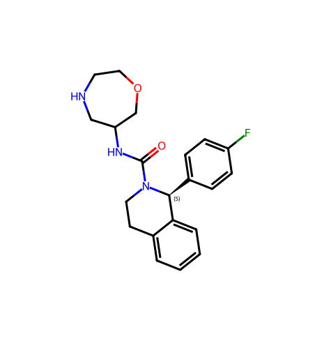 O=C(NC1CNCCOC1)N1CCc2ccccc2[C@@H]1c1ccc(F)cc1